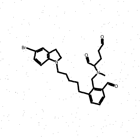 CN(Cc1c(C=O)cccc1CCCCCN1CCc2cc(Br)ccc21)C(C=O)CCC=O